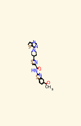 CC(=O)c1ccc2sc(NC(=O)c3csc(C4CCN(c5ncnc6ccsc56)CC4)n3)nc2c1